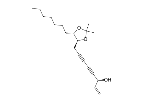 C=C[C@H](O)C#CC#CC[C@@H]1OC(C)(C)O[C@H]1CCCCCCC